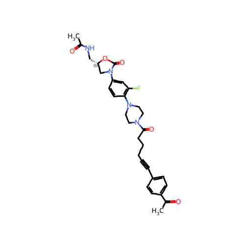 CC(=O)NC[C@H]1CN(c2ccc(N3CCN(C(=O)CCCC#Cc4ccc(C(C)=O)cc4)CC3)c(F)c2)C(=O)O1